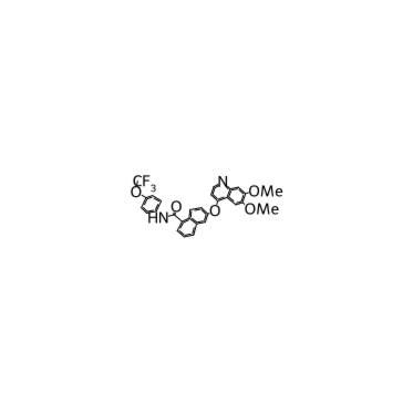 COc1cc2nccc(Oc3ccc4c(C(=O)Nc5ccc(OC(F)(F)F)cc5)cccc4c3)c2cc1OC